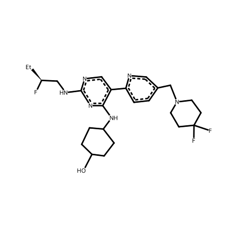 CC[C@H](F)CNc1ncc(-c2ccc(CN3CCC(F)(F)CC3)cn2)c(NC2CCC(O)CC2)n1